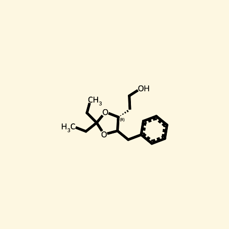 CCC1(CC)OC(Cc2ccccc2)[C@@H](CCO)O1